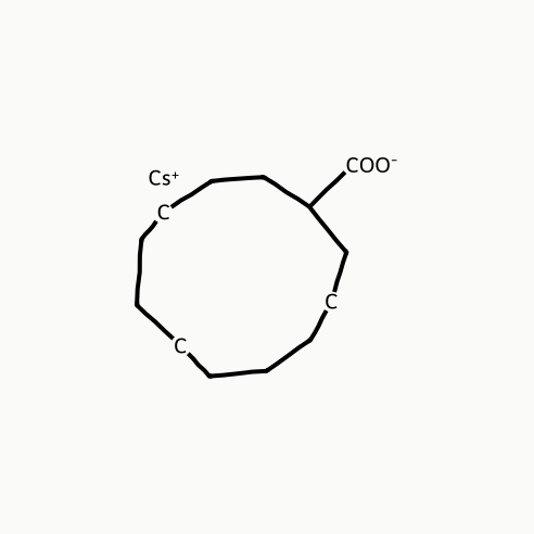 O=C([O-])C1CCCCCCCCCCC1.[Cs+]